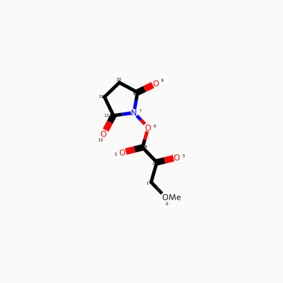 COCC(=O)C(=O)ON1C(=O)CCC1=O